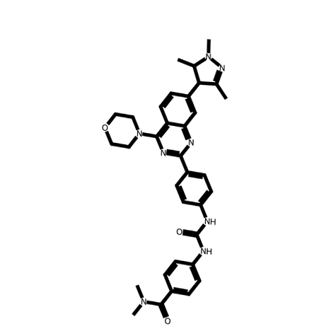 CC1=NN(C)C(C)C1c1ccc2c(N3CCOCC3)nc(-c3ccc(NC(=O)Nc4ccc(C(=O)N(C)C)cc4)cc3)nc2c1